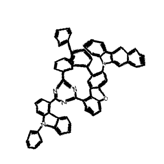 c1ccc(-c2ccc(-c3cc4c(cc3-n3c5ccccc5c5cc6ccccc6cc53)oc3cccc(-c5nc(-c6ccccc6)nc(-c6cccc7c6c6ccccc6n7-c6ccccc6)n5)c34)cc2)cc1